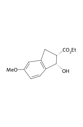 CCOC(=O)[C@H]1Cc2cc(OC)ccc2[C@H]1O